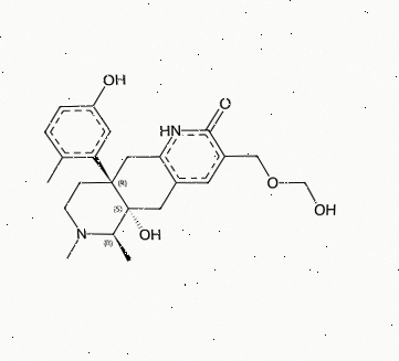 Cc1ccc(O)cc1[C@]12CCN(C)[C@H](C)[C@]1(O)Cc1cc(COCO)c(=O)[nH]c1C2